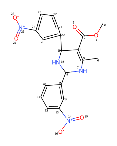 COC(=O)C1=C(C)NC(c2cccc([N+](=O)[O-])c2)NC1c1cccc([N+](=O)[O-])c1